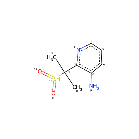 CC(C)(c1ncccc1N)[SH](=O)=O